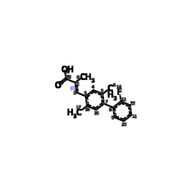 C/C(=C\c1cc(C)c(-c2ccccc2F)cc1C)C(=O)O